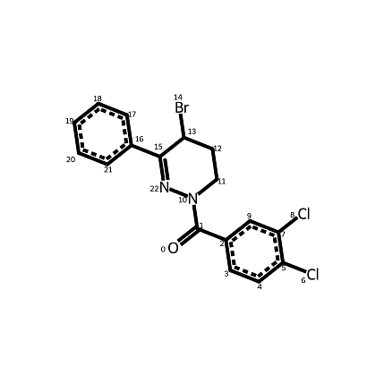 O=C(c1ccc(Cl)c(Cl)c1)N1CCC(Br)C(c2ccccc2)=N1